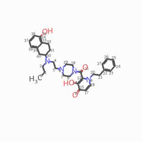 CCCN(CCN1CCN(C(=O)c2c(O)c(=O)ccn2CCc2ccccc2)CC1)C1CCc2c(O)cccc2C1